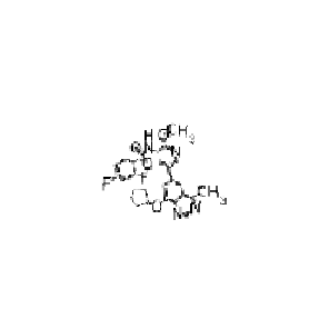 COc1ncc(-c2cc(OC3CCCC3)c3ncnc(C)c3c2)cc1NS(=O)(=O)c1ccc(F)cc1F